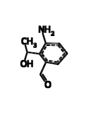 CC(O)c1c(N)cccc1C=O